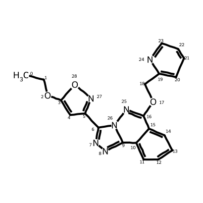 CCOc1cc(-c2nnc3c4ccccc4c(OCc4ccccn4)nn23)no1